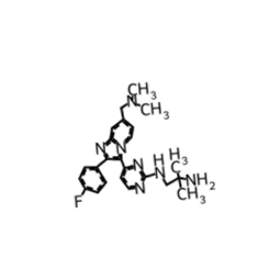 CN(C)Cc1ccn2c(-c3ccnc(NCC(C)(C)N)n3)c(-c3ccc(F)cc3)nc2c1